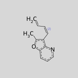 C=C/C=C\c1c(C)oc2cccnc12